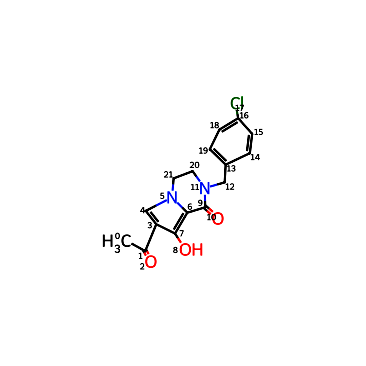 CC(=O)c1cn2c(c1O)C(=O)N(Cc1ccc(Cl)cc1)CC2